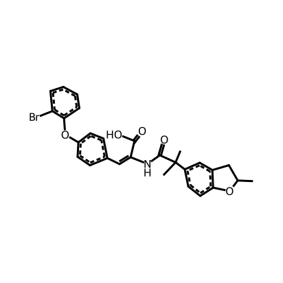 CC1Cc2cc(C(C)(C)C(=O)NC(=Cc3ccc(Oc4ccccc4Br)cc3)C(=O)O)ccc2O1